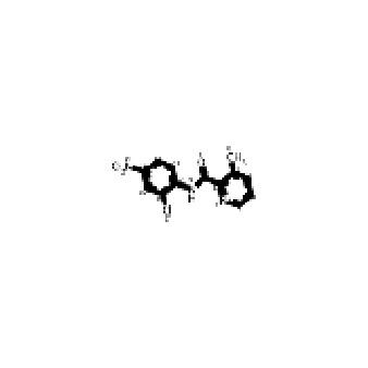 Cc1cccnc1C(=O)Nc1ccc([N+](=O)[O-])cc1Cl